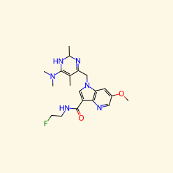 COc1cnc2c(C(=O)NCCF)cn(CC3=NC(C)NC(N(C)C)=C3C)c2c1